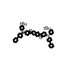 CC(C)(C)c1ccc(N(c2ccc(-c3ccccc3)cc2)c2ccc3c(c2)oc2cc4cc5c(cc4cc23)oc2cc(N(c3ccc(-c4ccccc4)cc3)c3cccc(C(C)(C)C)c3)ccc25)cc1